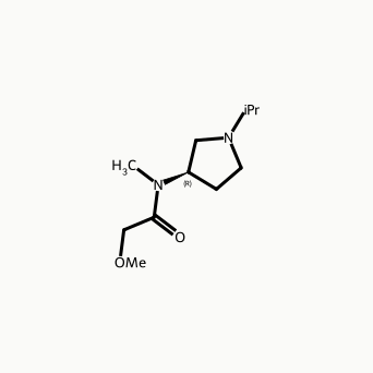 COCC(=O)N(C)[C@@H]1CCN(C(C)C)C1